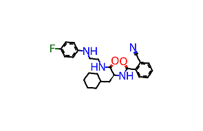 N#Cc1ccccc1C(=O)N[C@@H](CC1CCCCC1)C(=O)NCCNc1ccc(F)cc1